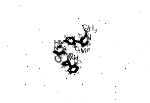 COc1cc(Nc2ncc3c(n2)N(C)C(c2ccccc2Cl)CO3)ccc1-c1ccnc(C)c1